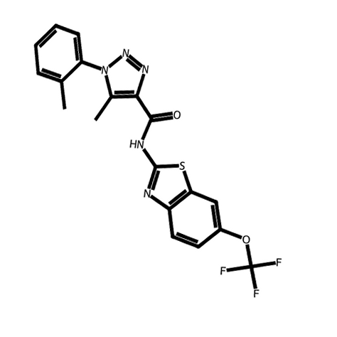 Cc1ccccc1-n1nnc(C(=O)Nc2nc3ccc(OC(F)(F)F)cc3s2)c1C